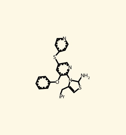 CC(C)CC1=CSC(N)N1c1ncc(Sc2ccncc2)cc1Oc1ccccc1